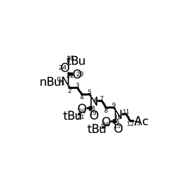 CCCCN(CCCCN(CCCN(CCC(C)=O)C(=O)OC(C)(C)C)C(=O)OC(C)(C)C)C(=O)OC(C)(C)C